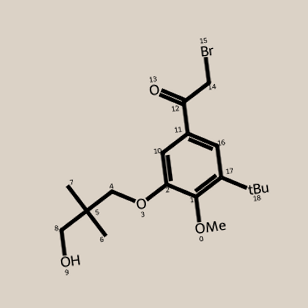 COc1c(OCC(C)(C)CO)cc(C(=O)CBr)cc1C(C)(C)C